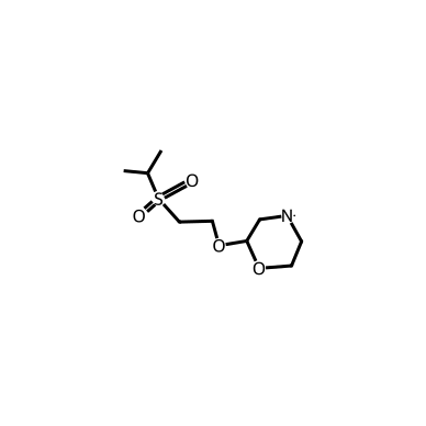 CC(C)S(=O)(=O)CCOC1C[N]CCO1